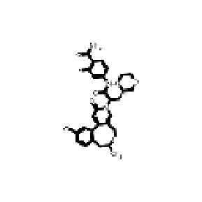 NC(=O)c1ccc(NC(=O)C(C[C@@H]2COCCO2)n2cc3c(cc2=O)-c2cc(Cl)ccc2CC(C(F)(F)F)OC3)cc1F